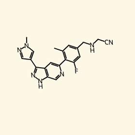 Cc1cc(CNCC#N)cc(F)c1-c1cc2c(-c3cnn(C)c3)n[nH]c2cn1